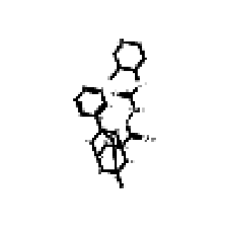 CC1CNCCC1OC(=O)NOC(=O)C12CC3CC(C)(C1)CC(c1ccccc1)(C3)C2